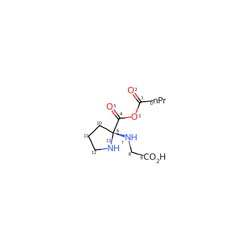 CCCC(=O)OC(=O)[C@@]1(NCC(=O)O)CCCN1